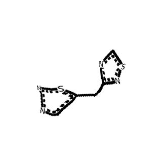 [CH](c1ncsn1)c1cnns1